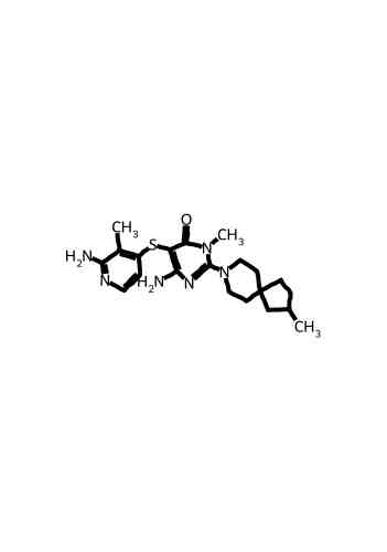 Cc1c(Sc2c(N)nc(N3CCC4(CCC(C)C4)CC3)n(C)c2=O)ccnc1N